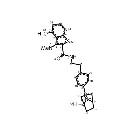 CNc1c(C(=O)NCCc2ccc(N3CC4CC[C@@H](C3)N4)cc2)sc2nccc(C)c12